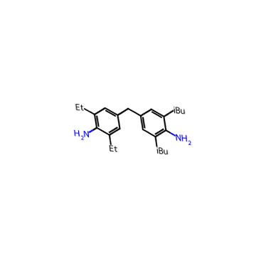 CCc1cc(Cc2cc(C(C)CC)c(N)c(C(C)CC)c2)cc(CC)c1N